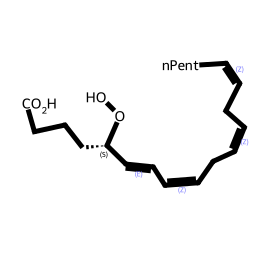 CCCCC/C=C\C/C=C\C/C=C\C=C\[C@H](CCCC(=O)O)OO